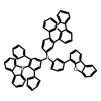 c1ccc(-c2ccc(N(c3cccc(-c4cccc5c4oc4ccccc45)c3)c3cc(-c4ccccc4)c(-n4c5ccccc5c5ccccc54)c(-c4ccccc4)c3)cc2-c2cccc3c2oc2ccccc23)cc1